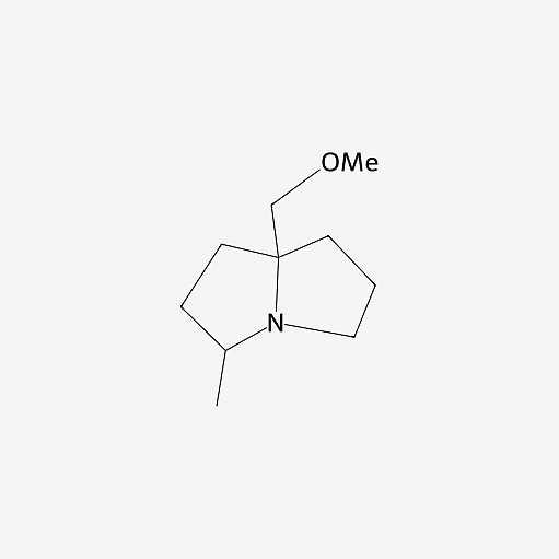 COCC12CCCN1C(C)CC2